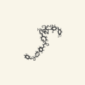 NC(=O)c1c(-c2ccc(Oc3ccccc3)cc2)nn2c1NCCC2C1CCN(C(=O)CCc2ccc(N3CCN(C(=O)OCc4ccccc4)CC3)cc2)CC1